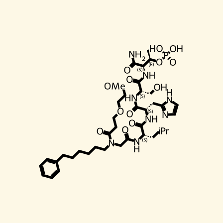 COCCOCCC(=O)N(CCCCCCc1ccccc1)CC(=O)N[C@@H](CC(C)C)C(=O)N[C@@H](Cc1ncc[nH]1)C(=O)N[C@@H](CO)C(=O)N[C@H](C(N)=O)[C@@H](C)OP(=O)(O)O